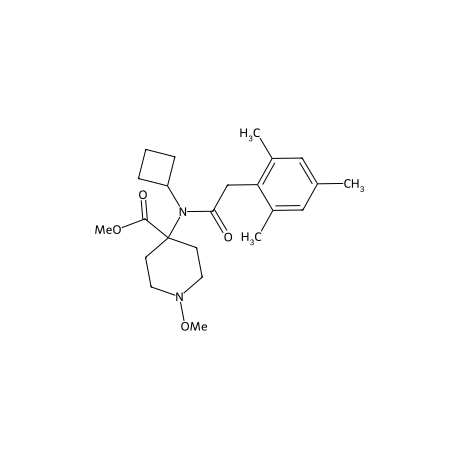 COC(=O)C1(N(C(=O)Cc2c(C)cc(C)cc2C)C2CCC2)CCN(OC)CC1